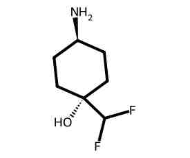 N[C@H]1CC[C@@](O)(C(F)F)CC1